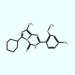 COc1cc(C)ccc1-c1nc2c(C)nc(C3CCCCC3)n2c(=O)[nH]1